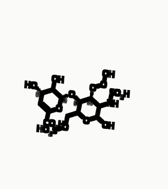 O=C(O)C1=C[C@H](O)C(O)[C@H](O[C@@H]2C(COS(=O)(=O)O)OC(O)C(NS(=O)(=O)O)[C@H]2OOO)O1